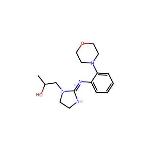 CC(O)CN1CCN/C1=N\c1ccccc1N1CCOCC1